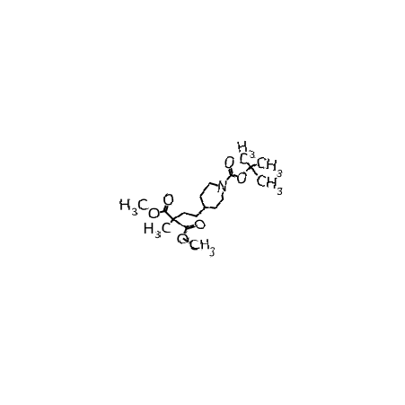 COC(=O)C(C)(CCC1CCN(C(=O)OC(C)(C)C)CC1)C(=O)OC